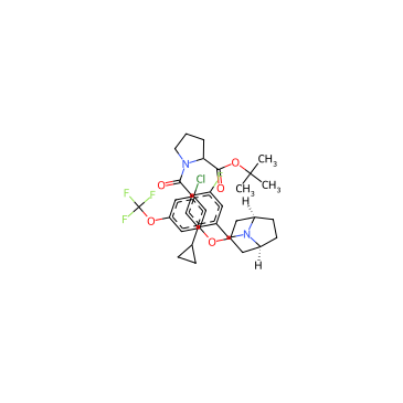 CC(C)(C)OC(=O)C1CCCN1C(=O)c1cc(C2CC2)c(CN2[C@@H]3CC[C@H]2CC(Oc2cc(Cl)cc(OC(F)(F)F)c2)C3)cc1F